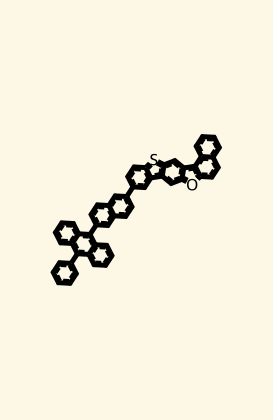 c1ccc(-c2c3ccccc3c(-c3ccc4cc(-c5ccc6sc7cc8c(cc7c6c5)oc5ccc6ccccc6c58)ccc4c3)c3ccccc23)cc1